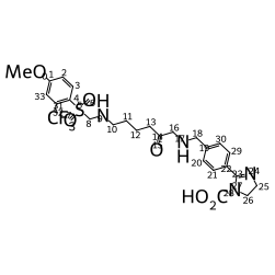 COc1ccc(S(=O)(=O)CNCCCCC(=O)CNCc2ccc(C3=NCCN3C(=O)O)cc2)c(C(F)(F)F)c1